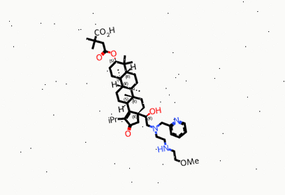 COCCNCCN(Cc1ccccn1)C[C@H](O)[C@@]12CC[C@]3(C)[C@H](CC[C@@H]4[C@@]5(C)CC[C@H](OC(=O)CC(C)(C)C(=O)O)C(C)(C)[C@@H]5CC[C@]43C)C1=C(C(C)C)C(=O)C2